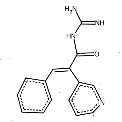 N=C(N)NC(=O)/C(=C/c1ccccc1)c1cccnc1